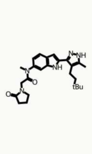 Cc1[nH]nc(-c2cc3ccc(N(C)C(=O)CN4CCCC4=O)cc3[nH]2)c1CCC(C)(C)C